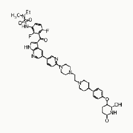 CCN(C)S(=O)(=O)Nc1ccc(F)c(C(=O)c2c[nH]c3ncc(-c4ccc(N5CCN(CCN6CCC(c7ccc(OC8CCC(=O)NC8O)cc7)CC6)CC5)nc4)cc23)c1F